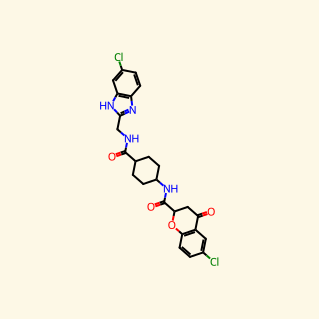 O=C1CC(C(=O)NC2CCC(C(=O)NCc3nc4ccc(Cl)cc4[nH]3)CC2)Oc2ccc(Cl)cc21